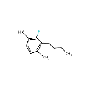 CCCCc1c(C)ccc(C)c1F